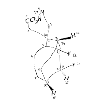 NC[C@@]1(CC(=O)O)C2CC[C@@H]3C[C@H]1C2(F)[C@H]3F